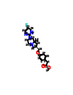 COC(=O)Cc1ccc(OC[C@H]2C[C@H]3CN(c4ncc(F)cn4)CCN3C2)cc1